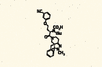 CN1N=C2CCN(C(=O)[C@@H](CCOc3cccc(C#N)c3)N(C(=O)O)C(C)(C)C)C[C@@]2(Cc2ccccc2)C1=O